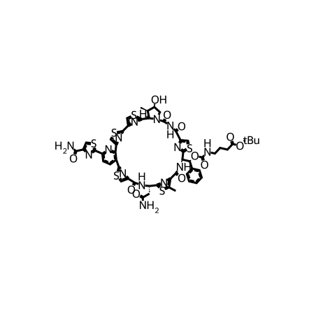 Cc1sc2nc1C(=O)N[C@@H]([C@H](OC(=O)NCCCC(=O)OC(C)(C)C)c1ccccc1)c1nc(cs1)C(=O)NC(=O)N1C[C@H](O)[C@H](C)[C@H]1c1nc(cs1)-c1nc(cs1)-c1nc(-c3nc(C(N)=O)cs3)ccc1-c1nc(cs1)C(=O)N[C@H]2CC(N)=O